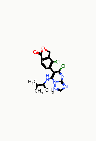 CC(C)C(C)Nc1c(-c2ccc3c(c2Cl)COC3=O)c(Cl)nc2ncnn12